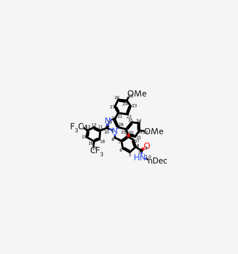 CCCCCCCCCCNC(=O)c1ccc(Cn2c(-c3cc(C(F)(F)F)cc(C(F)(F)F)c3)nc(-c3ccc(OC)cc3)c2-c2ccc(OC)cc2)cc1